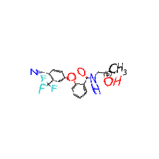 C[C@H](O)CNC(=O)c1ccccc1Oc1ccc(C#N)c(C(F)(F)F)c1